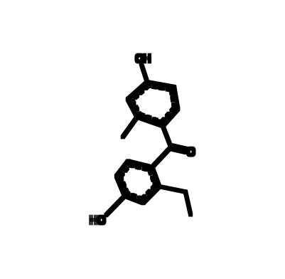 CCc1cc(O)ccc1C(=O)c1ccc(O)cc1C